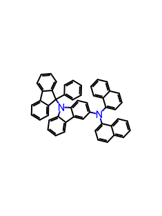 c1ccc(C2(n3c4ccccc4c4cc(N(c5cccc6ccccc56)c5cccc6ccccc56)ccc43)c3ccccc3-c3ccccc32)cc1